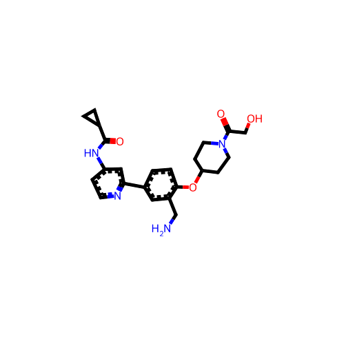 NCc1cc(-c2cc(NC(=O)C3CC3)ccn2)ccc1OC1CCN(C(=O)CO)CC1